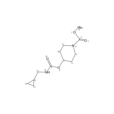 CC(C)(C)OC(=O)N1CCC(OC(=O)NCC2CC2)CC1